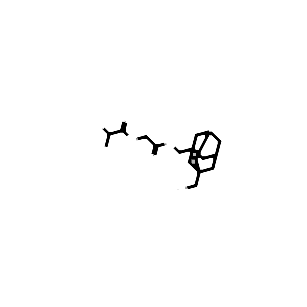 CC(C(=O)OCC(=O)OCC12CC3CC(CC(CO)(C3)C1)C2)C(F)(F)F